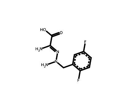 N/C(=N\N(N)Cc1cc(F)ccc1F)C(=O)O